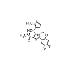 COC(=O)c1nc2n(c1C(O)c1ccnn1C)CCOc1cc(F)c(Br)cc1-2